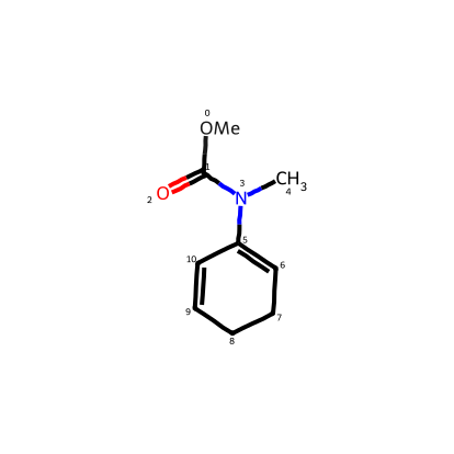 COC(=O)N(C)C1=CCCC=C1